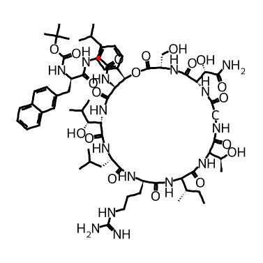 CC[C@H](C)C1NC(=O)[C@@H](CCCNC(=N)N)NC(=O)[C@H](CC(C)C)NC(=O)[C@H]([C@H](O)C(C)C)NC(=O)[C@@H](NC(=O)[C@H](CC(C)C)NC(=O)[C@@H](Cc2ccc3ccccc3c2)NC(=O)OC(C)(C)C)[C@@H](c2ccccc2)OC(=O)[C@H](CO)NC(=O)[C@H]([C@H](O)C(N)=O)NC(=O)CNC(=O)C([C@H](C)O)NC1=O